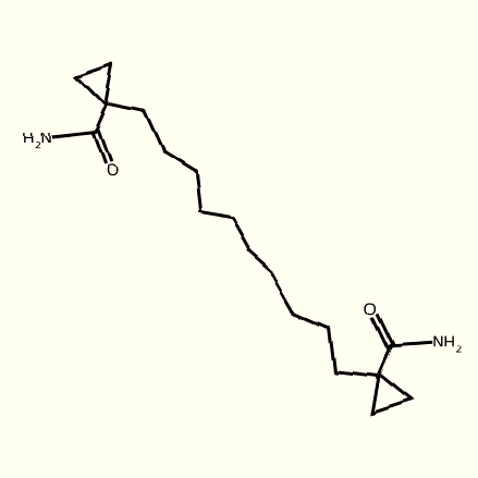 NC(=O)C1(CCCCCCCCCCC2(C(N)=O)CC2)CC1